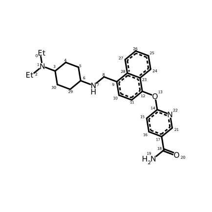 CCN(CC)C1CCC(NCc2ccc(Oc3ccc(C(N)=O)cn3)c3ccccc23)CC1